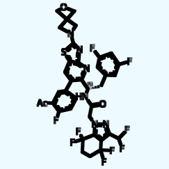 CC(=O)c1cc(-c2cc3sc(N4CC5(COC5)C4)nc3nc2[C@H](Cc2cc(F)cc(F)c2)NC(=O)Cn2nc(C(F)F)c3c2C(F)(F)CCC3(F)F)ccc1F